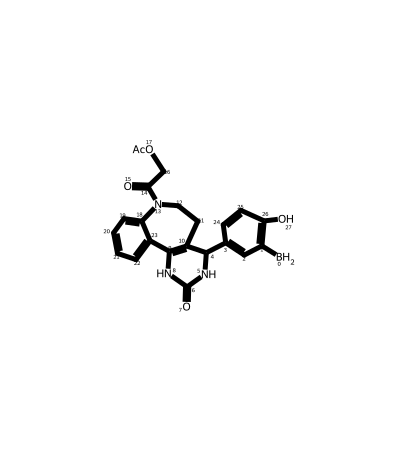 Bc1cc(C2NC(=O)NC3=C2CCN(C(=O)COC(C)=O)c2ccccc23)ccc1O